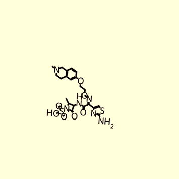 CC1C(NC(=O)/C(=N\OCCOc2ccc3c(c2)CCN(C)C3)c2csc(N)n2)C(=O)N1S(=O)(=O)O